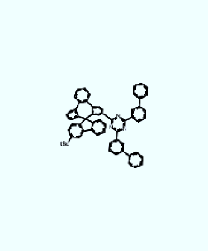 CC(C)(C)c1ccc2c(c1)-c1ccccc1C21c2ccccc2-c2ccccc2-c2ccc(-c3nc(-c4cccc(-c5ccccc5)c4)nc(-c4cccc(-c5ccccc5)c4)n3)cc21